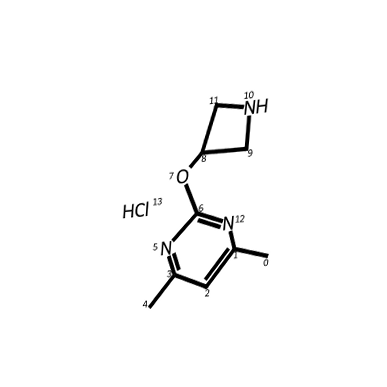 Cc1cc(C)nc(OC2CNC2)n1.Cl